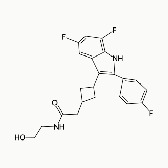 O=C(CC1CC(c2c(-c3ccc(F)cc3)[nH]c3c(F)cc(F)cc23)C1)NCCO